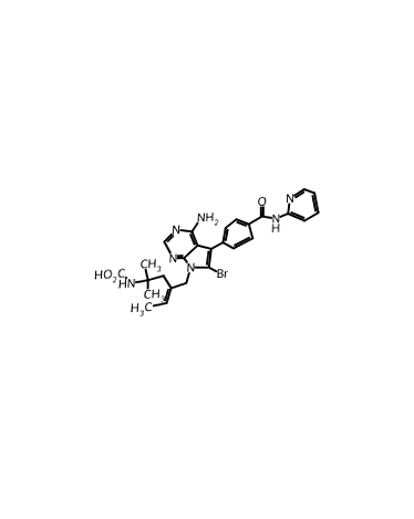 CC=C(Cn1c(Br)c(-c2ccc(C(=O)Nc3ccccn3)cc2)c2c(N)ncnc21)CC(C)(C)NC(=O)O